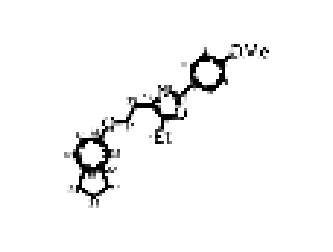 CCc1oc(-c2ccc(OC)cc2)nc1CCOc1ccc2c(c1)CCC2